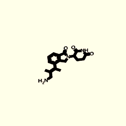 C/C(CN)=C(/C)c1cccc2c1CN(C1CCC(=O)NC1=O)C2=O